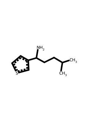 C[C](C)CCC(N)c1ccsc1